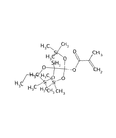 C=C(C)C(=O)OC(O[Si](C)(C)C)(O[Si](C)(C)C)C([SiH3])(OCCC)O[Si](C)(C)C